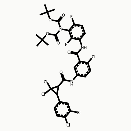 CC(C)(C)OC(=O)N(C(=O)OC(C)(C)C)c1c(F)ccc(NC(=O)c2cc(NC(=O)C3C(c4ccc(Cl)c(Br)c4)C3(Cl)Cl)ccc2Cl)c1F